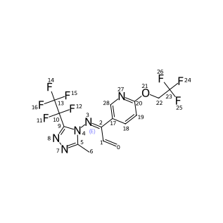 C=C/C(=N\n1c(C)nnc1C(F)(F)C(F)(F)F)c1ccc(OCC(F)(F)F)nc1